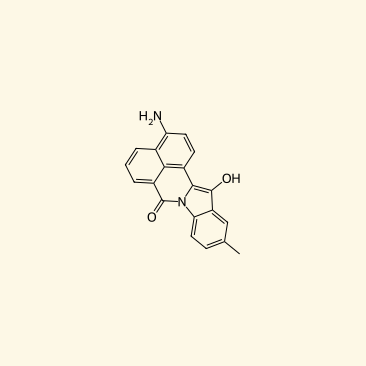 Cc1ccc2c(c1)c(O)c1c3ccc(N)c4cccc(c(=O)n21)c43